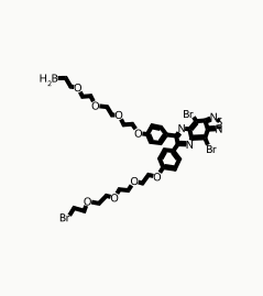 BCCOCCOCCOCCOc1ccc(-c2nc3c(Br)c4nsnc4c(Br)c3nc2-c2ccc(OCCOCCOCCOCCBr)cc2)cc1